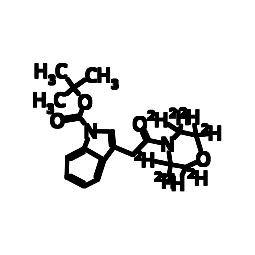 [2H]C1([2H])OC([2H])([2H])C([2H])([2H])N(C(=O)Cc2cn(C(=O)OC(C)(C)C)c3ccccc23)C1([2H])[2H]